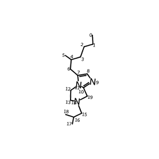 CCCCC(C)Cc1cnc2n1CCN(CC(C)C)C2